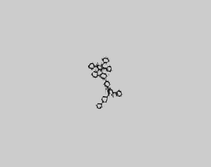 c1ccc(-c2ccc(-c3nc(-c4ccccc4)cc(-c4ccc(-c5ccc(-c6c(-c7ccccc7)c(-c7ccccc7)nc(-c7ccccc7)c6-c6ccccc6)cc5)cc4)n3)cc2)cc1